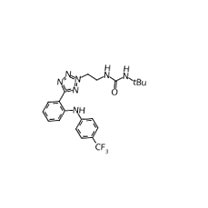 CC(C)(C)NC(=O)NCCn1nnc(-c2ccccc2Nc2ccc(C(F)(F)F)cc2)n1